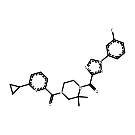 CC1(C)CN(C(=O)c2cccc(C3CC3)n2)CCN1C(=O)c1ncn(-c2cccc(F)c2)n1